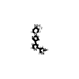 Cn1cc(-c2cc(-c3ccc(N4CCC(N)CC4)nc3)ccn2)cn1